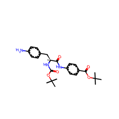 CC(C)(C)OC(=O)N[C@@H](Cc1ccc(N)cc1)C(=O)Nc1ccc(C(=O)OC(C)(C)C)cc1